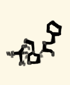 CC(C)(C)[C@H]1OC[C@@H](C(=O)OCc2ccccc2)N1C=O